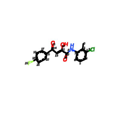 Cc1c(Cl)cccc1NC(=O)/C(O)=C/C(=O)c1ccc(F)cc1